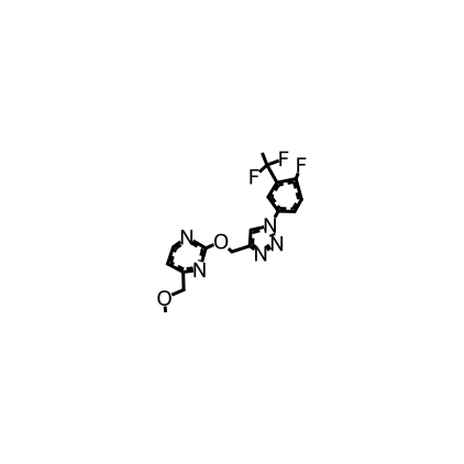 COCc1ccnc(OCc2cn(-c3ccc(F)c(C(C)(F)F)c3)nn2)n1